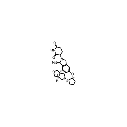 N=C1c2ccc(O[C@@H]3CCC[C@@H]3N3C[C@H]4COC[C@H]4C3)cc2CN1C1CCC(=O)NC1=O